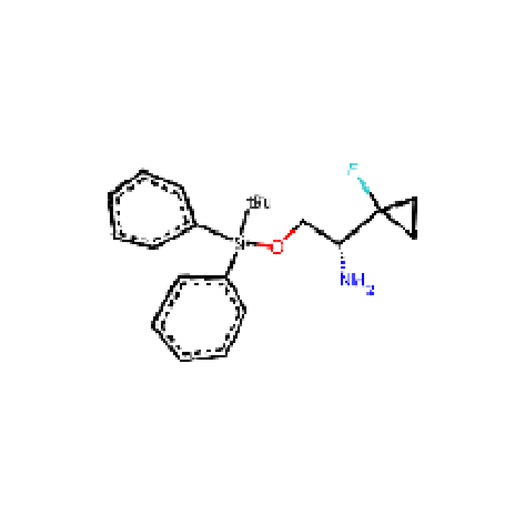 CC(C)(C)[Si](OC[C@@H](N)C1(F)CC1)(c1ccccc1)c1ccccc1